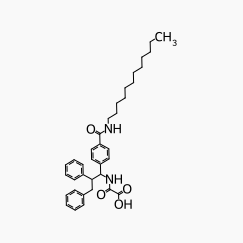 CCCCCCCCCCCCNC(=O)c1ccc(C(NC(=O)C(=O)O)C(Cc2ccccc2)c2ccccc2)cc1